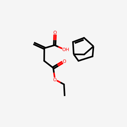 C1=CC2CCC1C2.C=C(CC(=O)OCC)C(=O)O